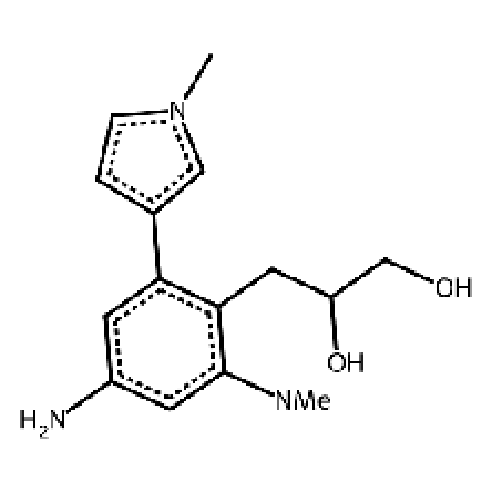 CNc1cc(N)cc(-c2ccn(C)c2)c1CC(O)CO